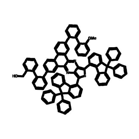 COc1ccccc1-c1ccccc1-c1ccc2c3ccc(-c4ccccc4-c4ccccc4CO)cc3c3nc4c(-c5cccc6c5-c5ccccc5C6(c5ccccc5)c5ccccc5)sc(-c5cccc6c5-c5ccccc5C6(c5ccccc5)c5ccccc5)c4nc3c2c1